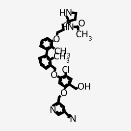 CC(=O)N[C@]1(CCCOc2cccc(-c3cccc(COc4cc(OCc5cncc(C#N)c5)c(CO)cc4Cl)c3C)c2C)CCNC1